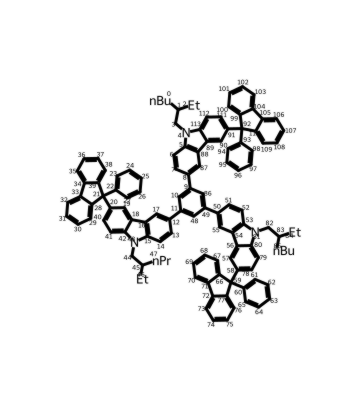 CCCCC(CC)Cn1c2ccc(-c3cc(-c4ccc5c(c4)c4cc(C6(c7ccccc7)c7ccccc7-c7ccccc76)ccc4n5CC(CC)CCC)cc(-c4ccc5c(c4)c4cc(C6(c7ccccc7)c7ccccc7-c7ccccc76)ccc4n5CC(CC)CCCC)c3)cc2c2cc(C3(c4ccccc4)c4ccccc4-c4ccccc43)ccc21